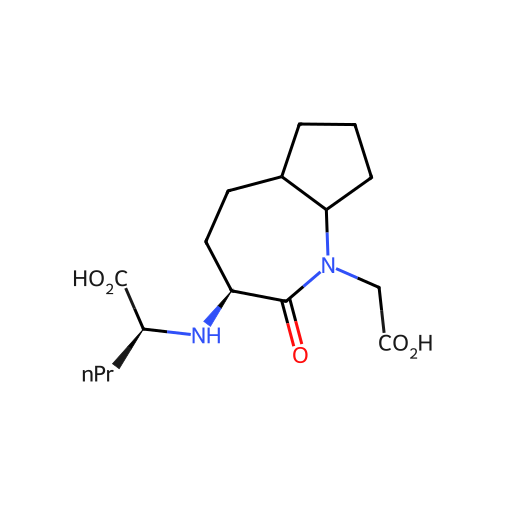 CCC[C@H](N[C@H]1CCC2CCCC2N(CC(=O)O)C1=O)C(=O)O